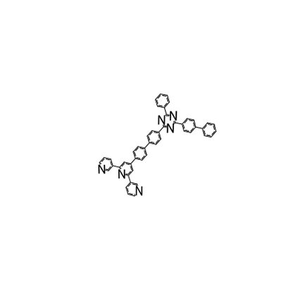 c1ccc(-c2ccc(-c3nc(-c4ccccc4)nc(-c4ccc(-c5ccc(-c6cc(-c7cccnc7)nc(-c7cccnc7)c6)cc5)cc4)n3)cc2)cc1